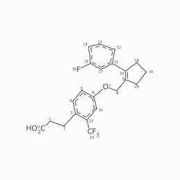 O=C(O)CCc1ccc(OCC2=C(c3cccc(F)c3)CCC2)cc1C(F)(F)F